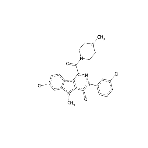 CN1CCN(C(=O)c2nn(-c3cccc(Cl)c3)c(=O)c3c2c2ccc(Cl)cc2n3C)CC1